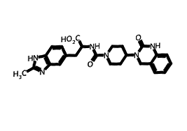 Cc1nc2cc(CC(NC(=O)N3CCC(N4Cc5ccccc5NC4=O)CC3)C(=O)O)ccc2[nH]1